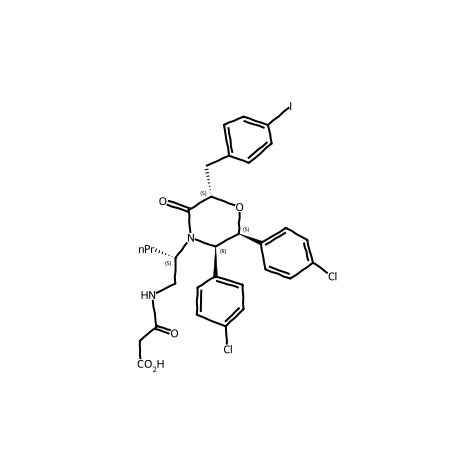 CCC[C@@H](CNC(=O)CC(=O)O)N1C(=O)[C@H](Cc2ccc(I)cc2)O[C@@H](c2ccc(Cl)cc2)[C@H]1c1ccc(Cl)cc1